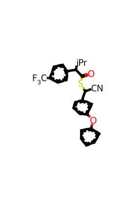 CC(C)C(C(=O)SC(C#N)c1cccc(Oc2ccccc2)c1)c1ccc(C(F)(F)F)cc1